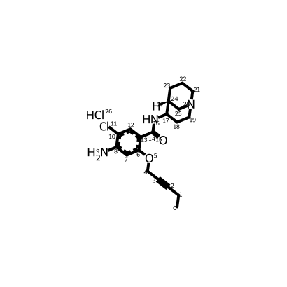 CCC#CCOc1cc(N)c(Cl)cc1C(=O)NC1CCN2CCC[C@@H]1C2.Cl